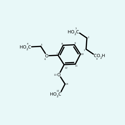 O=C(O)CCC(=O)O.O=C(O)COc1ccccc1OCC(=O)O